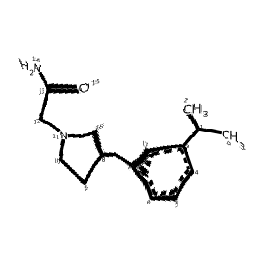 CC(C)c1cccc(C2CCN(CC(N)=O)C2)c1